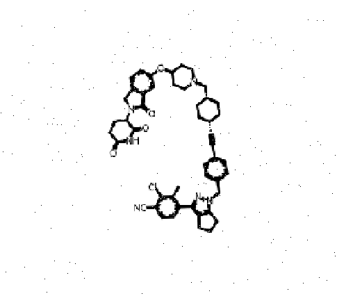 Cc1c(-c2nn(Cc3ccc(C#C[C@H]4CC[C@H](CN5CCC(Oc6ccc7c(c6)C(=O)N(C6CCC(=O)NC6=O)C7)CC5)CC4)cc3)c3c2CCC3)ccc(C#N)c1Cl